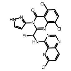 CC[C@H](Nc1ncnc2ccc(Cl)nc12)c1nc2c(Cl)ccc(Cl)c2c(=O)n1-c1cc[nH]n1